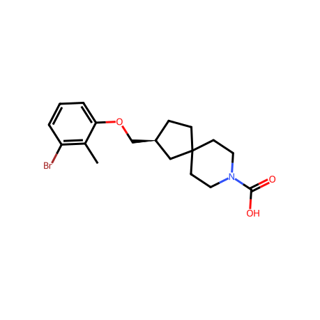 Cc1c(Br)cccc1OC[C@H]1CCC2(CCN(C(=O)O)CC2)C1